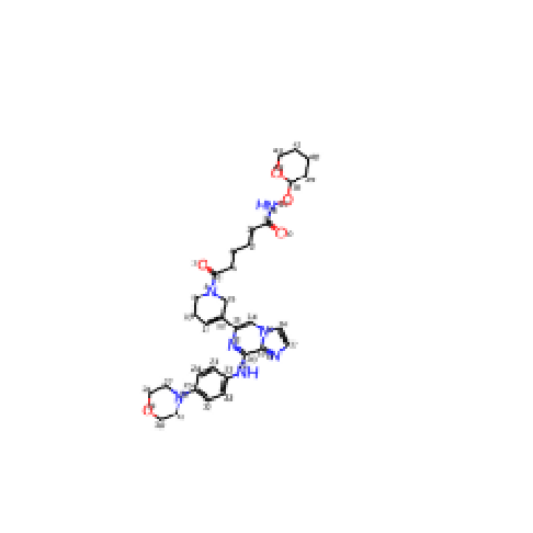 O=C(CCCCC(=O)N1CCC=C(c2cn3ccnc3c(Nc3ccc(N4CCOCC4)cc3)n2)C1)NOC1CCCCO1